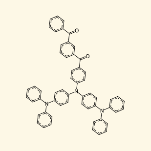 O=C(c1ccccc1)c1cccc(C(=O)c2ccc(N(c3ccc(N(c4ccccc4)c4ccccc4)cc3)c3ccc(N(c4ccccc4)c4ccccc4)cc3)cc2)c1